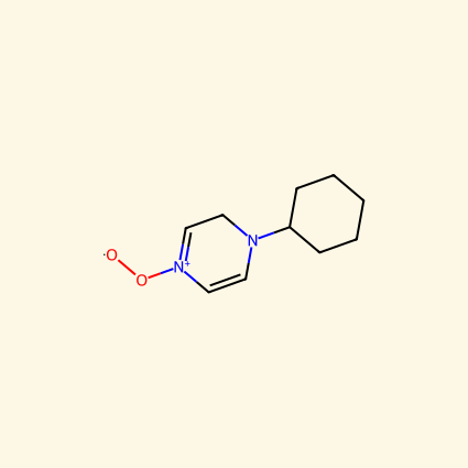 [O]O[N+]1=CCN(C2CCCCC2)C=C1